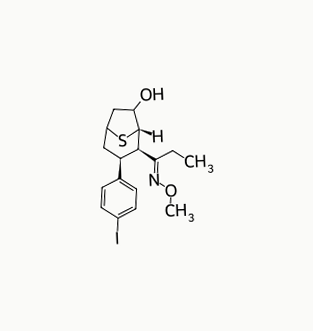 CCC(=NOC)[C@H]1[C@@H](c2ccc(I)cc2)CC2CC(O)[C@H]1S2